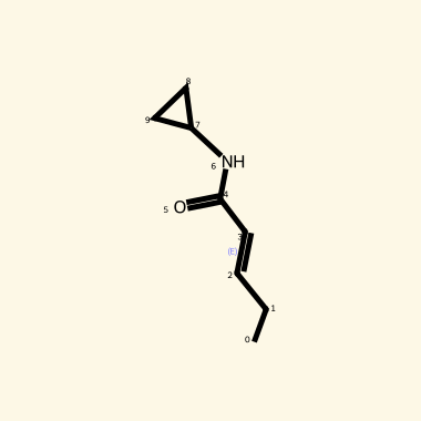 CC/C=C/C(=O)NC1CC1